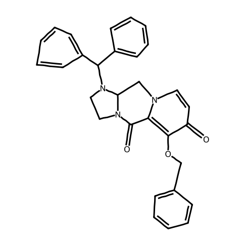 O=C1c2c(OCc3ccccc3)c(=O)ccn2CC2N1CCN2C(c1ccccc1)c1ccccc1